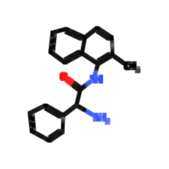 Cc1ccc2ccccc2c1NC(=O)C(N)c1ccccc1